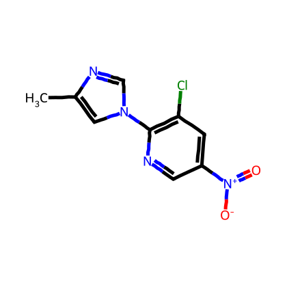 Cc1cn(-c2ncc([N+](=O)[O-])cc2Cl)cn1